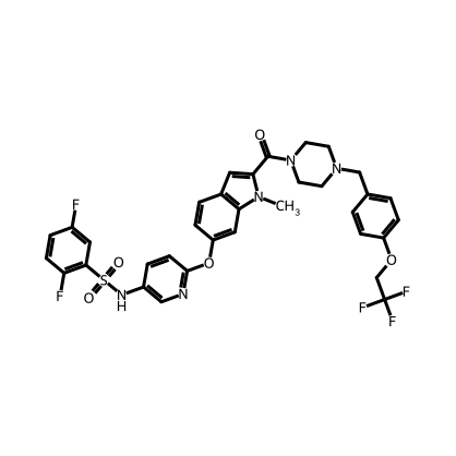 Cn1c(C(=O)N2CCN(Cc3ccc(OCC(F)(F)F)cc3)CC2)cc2ccc(Oc3ccc(NS(=O)(=O)c4cc(F)ccc4F)cn3)cc21